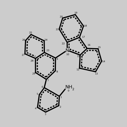 Nc1ccccc1-c1cc(-n2c3ccccc3c3ccccc32)c2ccccc2c1